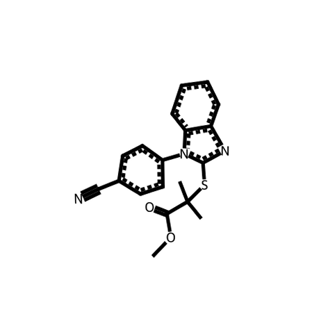 COC(=O)C(C)(C)Sc1nc2ccccc2n1-c1ccc(C#N)cc1